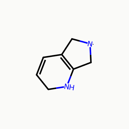 C1=CC2=C(C[N]C2)NC1